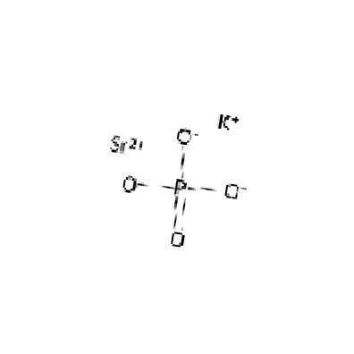 O=P([O-])([O-])[O-].[K+].[Sr+2]